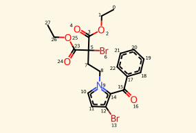 CCOC(=O)C(Br)(CCn1ccc(Br)c1C(=O)c1ccccc1)C(=O)OCC